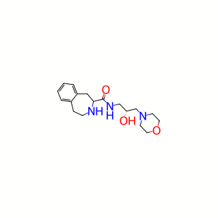 O=C(NC[C@@H](O)CN1CCOCC1)C1Cc2ccccc2CCN1